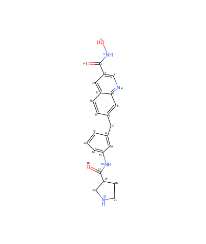 O=C(NO)c1cnc2cc(Cc3cccc(NC(=O)C4CCNC4)c3)ccc2c1